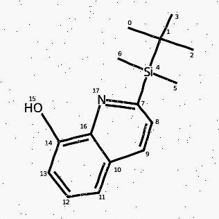 CC(C)(C)[Si](C)(C)c1ccc2cccc(O)c2n1